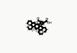 CC1(C)c2c(cc3c4c2CCCN4CCC3)C2(OC(=O)c3cc(C(=O)O)ccc32)c2cc3c4c(c21)CCCN4CCC3